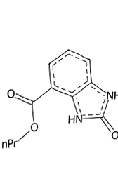 CCCOC(=O)c1cccc2[nH]c(=O)[nH]c12